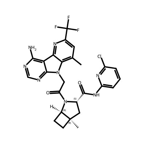 Cc1cc(C(F)(F)F)nc2c3c(N)ncnc3n(CC(=O)N3[C@H](C(=O)Nc4cccc(Cl)n4)C[C@@]4(C)CC[C@@H]34)c12